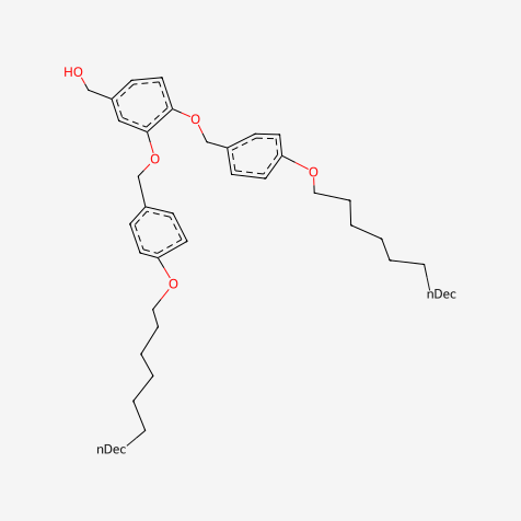 CCCCCCCCCCCCCCCCOc1ccc(COc2ccc(CO)cc2OCc2ccc(OCCCCCCCCCCCCCCCC)cc2)cc1